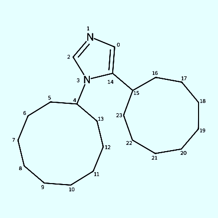 c1ncn(C2CCCCCCCCC2)c1C1CCCCCCCC1